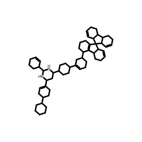 C1=CC(C2NC(C3=CCC(C4CCCCC4)CC3)CC(C3CCC(C4=CCCC(C5CCCC6=C5C5CCC=CC5C65C6C=CCCC6C6CCC=CC65)C4)CC3)N2)CCC1